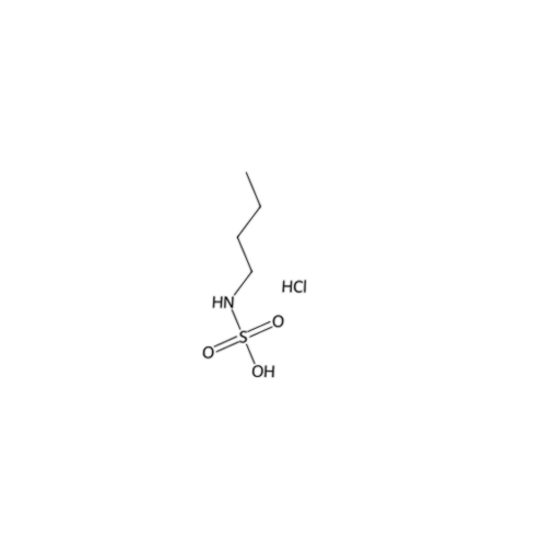 CCCCNS(=O)(=O)O.Cl